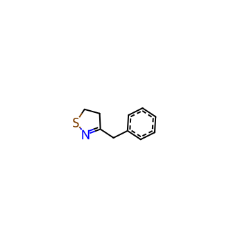 c1ccc(CC2=NSCC2)cc1